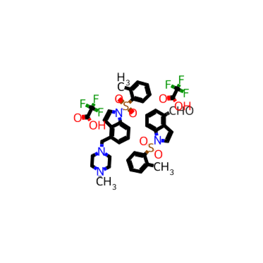 Cc1ccccc1S(=O)(=O)n1ccc2c(C=O)cccc21.Cc1ccccc1S(=O)(=O)n1ccc2c(CN3CCN(C)CC3)cccc21.O=C(O)C(F)(F)F.O=C(O)C(F)(F)F